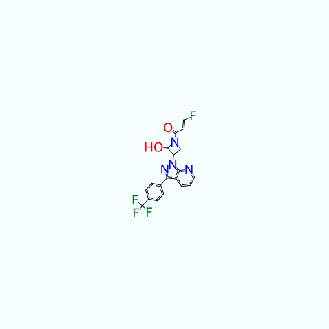 O=C(C=CF)N1CC(n2nc(-c3ccc(C(F)(F)F)cc3)c3cccnc32)C1O